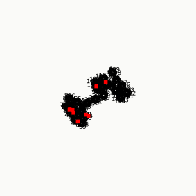 c1ccc(-c2cccc(N(c3ccc4c(c3)-n3c5cccc(-c6ccc(-c7ccc(N(c8ccc9c(c8)-n8c%10ccccc%10c%10cccc(c%108)C98c9ccccc9-c9ccccc98)c8ccc9c(c8)C(c8ccccc8)(c8ccccc8)c8ccccc8-9)cc7)cc6)c5c5cccc(c53)C43c4ccccc4-c4ccccc43)c3ccc4c(c3)C3(c5ccccc5-c5ccccc53)c3ccccc3-4)c2)cc1